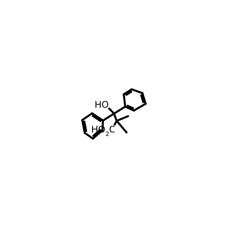 CC(C)(C(=O)O)C(O)(c1ccccc1)c1ccccc1